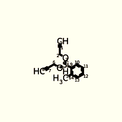 C#CCO[SiH](OCC#C)c1ccccc1C